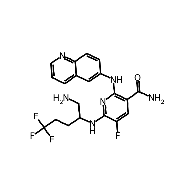 NCC(CCC(F)(F)F)Nc1nc(Nc2ccc3ncccc3c2)c(C(N)=O)cc1F